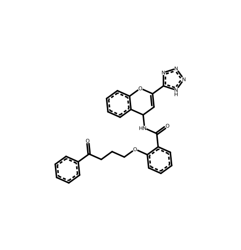 O=C(CCCOc1ccccc1C(=O)NC1C=C(c2nnn[nH]2)Oc2ccccc21)c1ccccc1